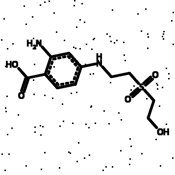 Nc1cc(NCCS(=O)(=O)CCO)ccc1C(=O)O